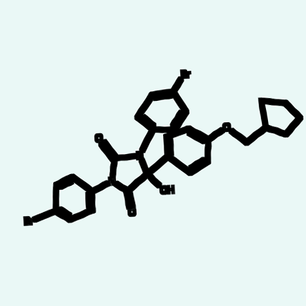 O=C1N(c2ccc(Br)cc2)C(=O)C(O)(c2ccc(OCC3CCCC3)cc2)N1c1ccc(Br)cc1